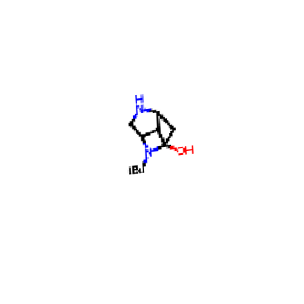 CC(C)(C)N1C2CNC3CC1(O)C32